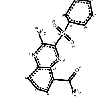 NC(=O)c1cccc2nc(N)c(S(=O)(=O)c3ccccc3)nc12